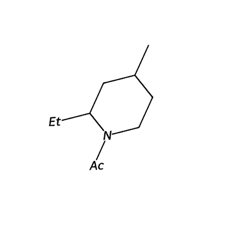 CCC1CC(C)CCN1C(C)=O